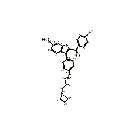 O=C(c1ccc(F)cc1)c1sc2cc(O)ccc2c1-c1ccc(OCCCN2CCC2)cc1